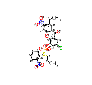 CCCSP(=O)(Oc1cccc([N+](=O)[O-])c1)Oc1cc(Cl)cc2c(=O)c3cc(CC)c([N+](=O)[O-])cc3oc12